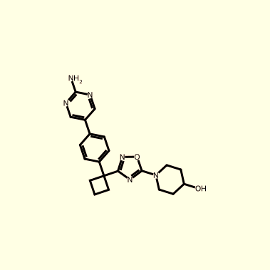 Nc1ncc(-c2ccc(C3(c4noc(N5CCC(O)CC5)n4)CCC3)cc2)cn1